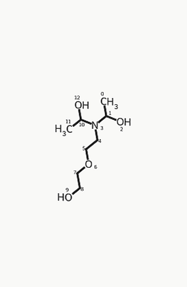 CC(O)N(CCOCCO)C(C)O